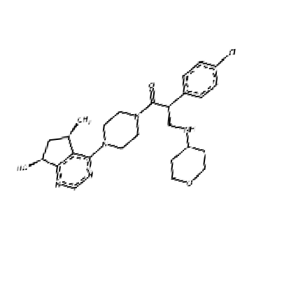 C[C@@H]1C[C@H](O)c2ncnc(N3CCN(C(=O)[C@H](CNC4CCOCC4)c4ccc(Cl)cc4)CC3)c21